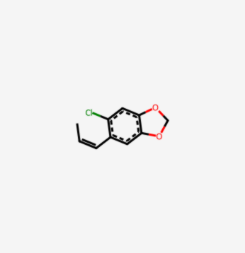 C/C=C\c1cc2c(cc1Cl)OCO2